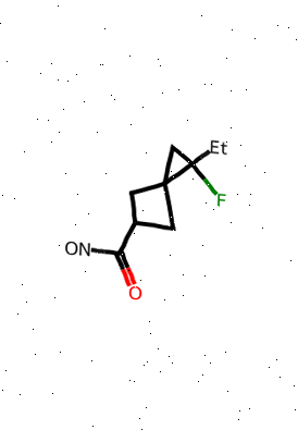 CCC1(F)CC12CC(C(=O)N=O)C2